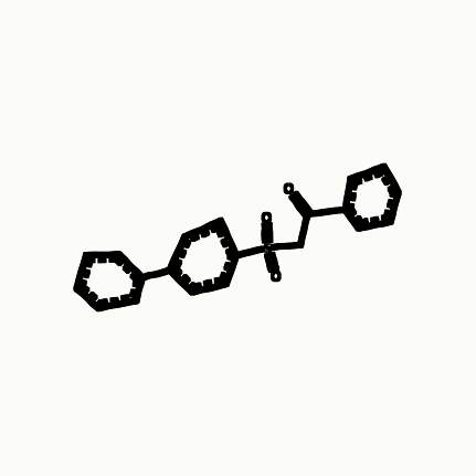 O=C(CS(=O)(=O)c1ccc(-c2ccccc2)cc1)c1ccccc1